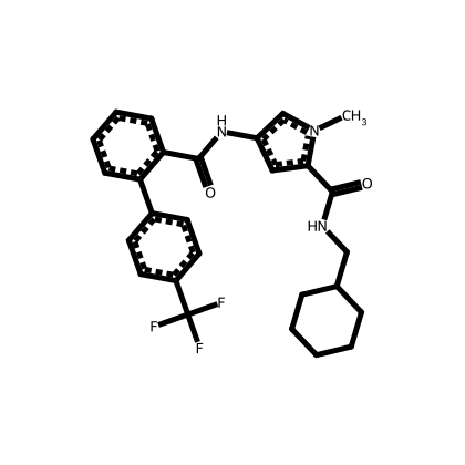 Cn1cc(NC(=O)c2ccccc2-c2ccc(C(F)(F)F)cc2)cc1C(=O)NCC1CCCCC1